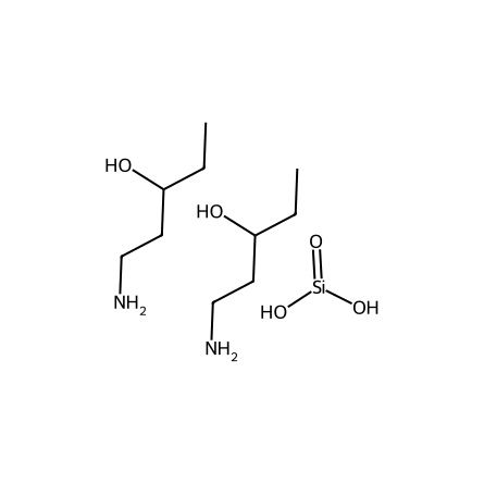 CCC(O)CCN.CCC(O)CCN.O=[Si](O)O